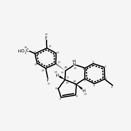 Cc1ccc2c(c1)[C@@H]1C=CC[C@@H]1[C@H](c1cc(F)c(C(=O)O)cc1F)N2